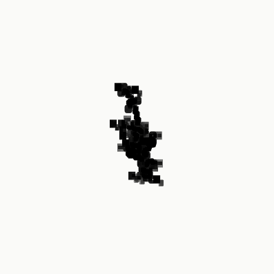 CNC(=O)C(CC(C)C)NC(=O)C(CO)NC(=O)C(Cc1ccc(O)cc1)NC(=O)C(Cc1ccc(O)cc1)NC(=O)C(CO)NC(=O)C(CO)NC(=O)C(CCCNC(=N)N)NC(=O)CCCCCN1C(=O)CC(SCC(N)C(=O)O)C1=O